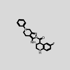 Nc1c2c(nn1C(=O)C1CCNc3ccc(F)cc31)CN(c1ccccc1)CC2